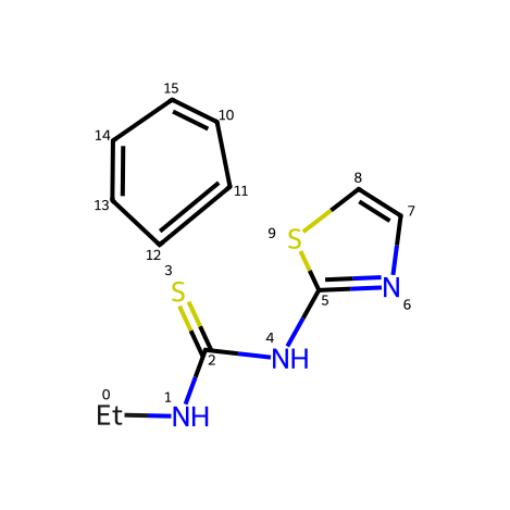 CCNC(=S)Nc1nccs1.c1ccccc1